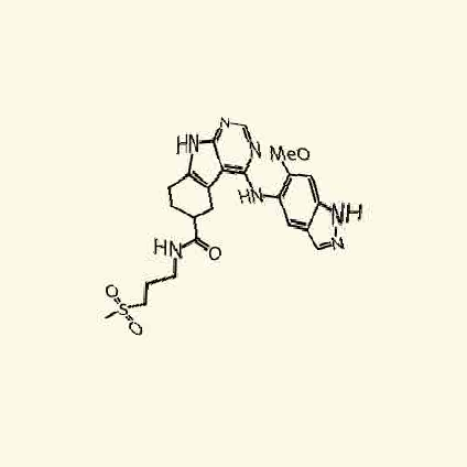 COc1cc2[nH]ncc2cc1Nc1ncnc2[nH]c3c(c12)CC(C(=O)NCCCS(C)(=O)=O)CC3